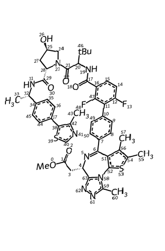 COC(=O)C[C@@H]1N=C(c2ccc(-c3c(F)ccc(C(=O)NC(C(=O)N4C[C@H](O)C[C@H]4C(=O)N[C@@H](C)c4ccc(-c5scnc5C)cc4)C(C)(C)C)c3F)cc2)c2c(sc(C)c2C)-n2c(C)nnc21